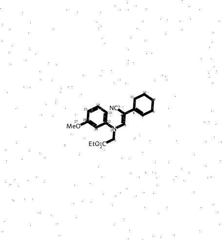 CCOC(=O)CN(C=C(C#N)C1=CCCCC1)c1cccc(OC)c1